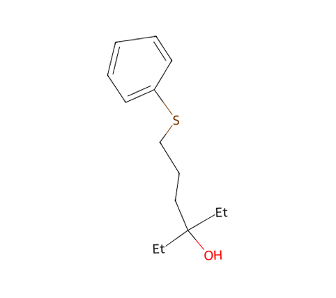 CCC(O)(CC)CCCSc1ccccc1